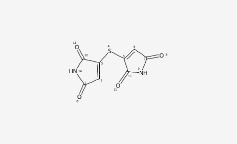 O=C1C=C(SC2=CC(=O)NC2=O)C(=O)N1